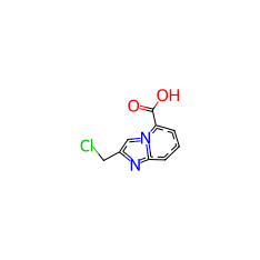 O=C(O)c1cccc2nc(CCl)cn12